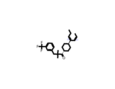 C/C=C\C(=C/CC)[C@H]1CC[C@H](C(=O)C(C)(C)Cc2cccc(C(F)(F)F)c2)CC1